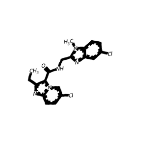 CCc1nc2ccc(Cl)cn2c1C(=O)NCc1nc2cc(Cl)ccc2n1C